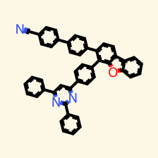 N#Cc1ccc(-c2ccc(-c3ccc4c(oc5ccccc54)c3-c3ccc(-c4cc(-c5ccccc5)nc(-c5ccccc5)n4)cc3)cc2)cc1